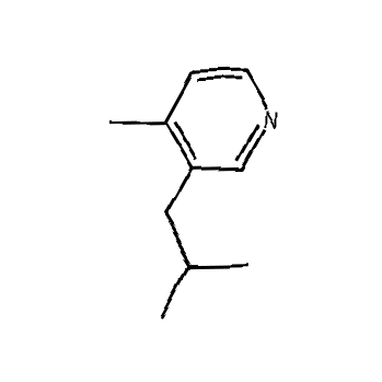 Cc1ccncc1CC(C)C